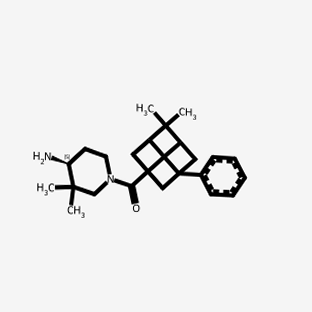 CC1(C)C2CC3(C(=O)N4CC[C@H](N)C(C)(C)C4)CC4(c5ccccc5)CC1C234